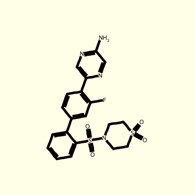 Nc1cnc(-c2ccc(-c3ccccc3S(=O)(=O)N3CCS(=O)(=O)CC3)cc2F)cn1